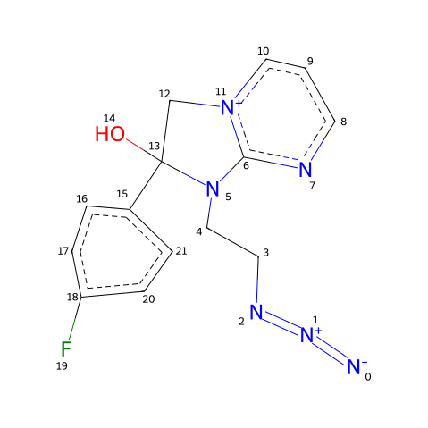 [N-]=[N+]=NCCN1c2nccc[n+]2CC1(O)c1ccc(F)cc1